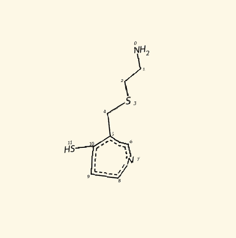 NCCSCc1cnccc1S